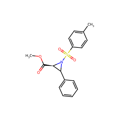 COC(=O)[C@@H]1C(c2ccccc2)N1S(=O)(=O)c1ccc(C)cc1